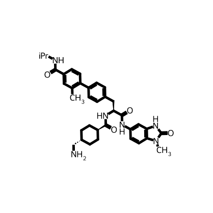 Cc1cc(C(=O)NC(C)C)ccc1-c1ccc(C[C@H](NC(=O)[C@H]2CC[C@H](CN)CC2)C(=O)Nc2ccc3c(c2)[nH]c(=O)n3C)cc1